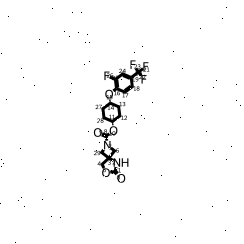 O=C1NC2(CO1)CN(C(=O)O[C@H]1CC[C@@H](Oc3ccc(C(F)(F)F)cc3F)CC1)C2